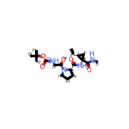 C=C[C@@H]1C[C@]1(NC(=O)[C@@H]1CCCN1C(=O)CNC(=O)OC(C)(C)C)C(=O)NC